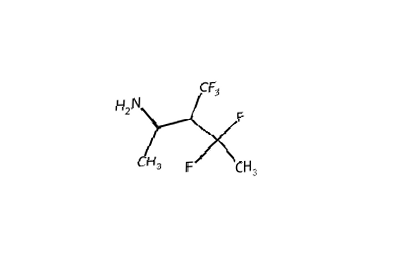 CC(N)C(C(C)(F)F)C(F)(F)F